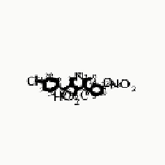 Cc1ncc2c(c1[C@@]1(C(=O)O)CC[C@@H](O[N+](=O)[O-])C1)CO[C@H]2c1ccc(Cl)cc1